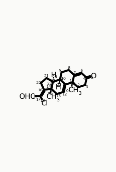 C[C@]12CCC(=O)C=C1CC[C@@H]1C2=CC[C@]2(C)C(=C(Cl)C=O)CC[C@@H]12